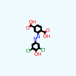 O=C(O)c1ccc(C(=O)O)c(N=Nc2cc(Cl)c(O)c(Cl)c2)c1